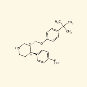 CC(C)(C)c1ccc(OC[C@H]2CNCC[C@@H]2c2ccc(F)cc2)cc1.Cl